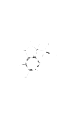 Cc1ncc2c(c1O)COC2(O)P(=O)(O)O